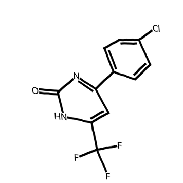 O=c1nc(-c2ccc(Cl)cc2)cc(C(F)(F)F)[nH]1